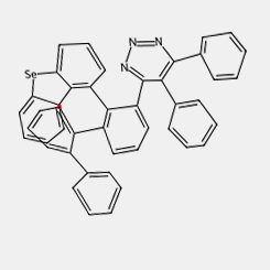 c1ccc(-c2ccccc2-c2cccc(-c3nnnc(-c4ccccc4)c3-c3ccccc3)c2-c2cccc3[se]c4ccccc4c23)cc1